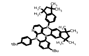 CC(C)(C)c1ccc(N2c3ccc(C(C)(C)C)cc3B3c4cc5c(cc4N(c4ccc6c(c4)C(C)(C)CC6(C)C)c4ccnc2c43)C(C)(C)CC5(C)C)cc1